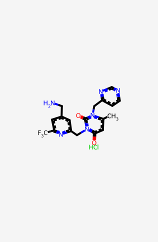 Cc1cc(=O)n(Cc2cc(CN)cc(C(F)(F)F)n2)c(=O)n1Cc1ccncn1.Cl